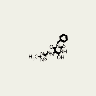 Cc1nsc(N=Nc2c(O)[nH]c(=S)n(Cc3ccccc3)c2=O)n1